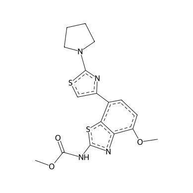 COC(=O)Nc1nc2c(OC)ccc(-c3csc(N4CCCC4)n3)c2s1